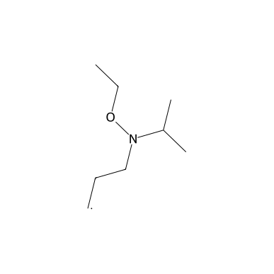 [CH2]CCN(OCC)C(C)C